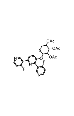 CC(=O)O[C@@H]1[C@@H](OC(C)=O)[C@@H](Oc2ccc(-c3cnccc3F)nc2-c2cnccc2F)SC[C@H]1OC(C)=O